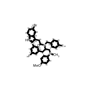 COc1ccc(N(C)CC(Cc2cc(F)cc(F)c2)N(Cc2ccc(F)cc2)C(=O)Cc2c[nH]c3ccc(Br)cc23)cc1